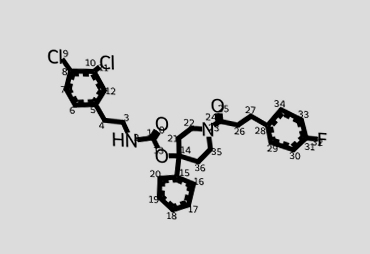 O=C(NCCc1ccc(Cl)c(Cl)c1)OC1(c2ccccc2)CCN(C(=O)CCc2ccc(F)cc2)CC1